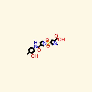 Cc1ccc(NC(=O)c2ccn(S(=O)(=O)c3cc(C(=O)O)n(C)c3)c2)cc1O